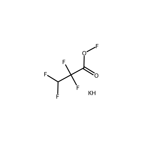 O=C(OF)C(F)(F)C(F)F.[KH]